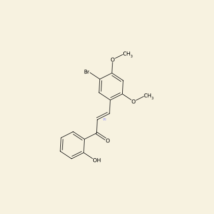 COc1cc(OC)c(/C=C/C(=O)c2ccccc2O)cc1Br